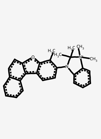 Cc1c(N2c3ccccc3[N+](C)(C)C2(C)C)ccc2c1oc1ccc3ccccc3c12